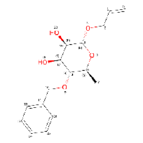 C=CCO[C@@H]1O[C@@H](C)[C@H](OCc2ccccc2)[C@@H](O)[C@H]1O